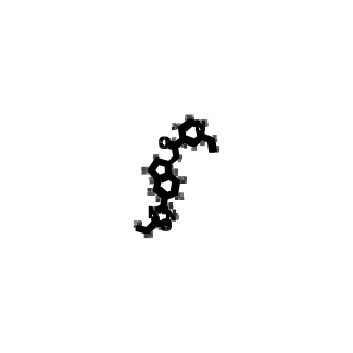 C=Cc1cc(C(=O)C[C@@H]2CCc3cc(-c4noc(CC)n4)ccc32)ccn1